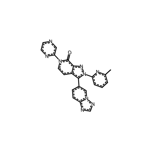 Cc1cccc(-n2nc3c(=O)n(-c4cnccn4)ccc3c2-c2ccc3ncnn3c2)n1